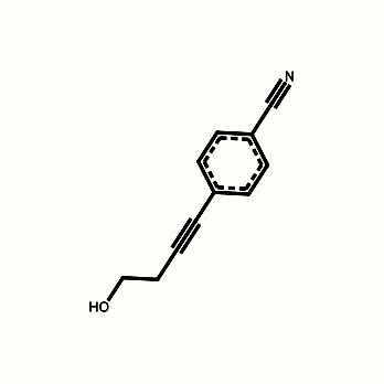 N#Cc1ccc(C#CCCO)cc1